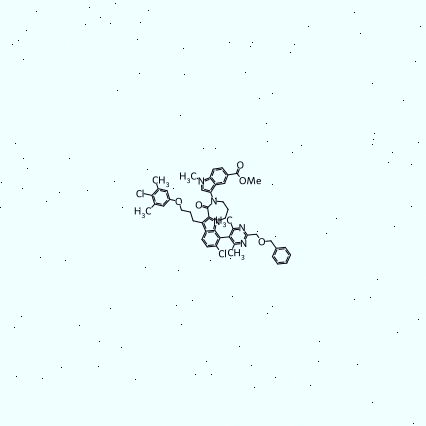 COC(=O)c1ccc2c(c1)c(N1CCCn3c(c(CCCOc4cc(C)c(Cl)c(C)c4)c4ccc(Cl)c(-c5c(C)nc(COCc6ccccc6)nc5C)c43)C1=O)cn2C